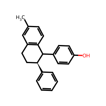 Cc1ccc2c(c1)CC[C@H](c1ccccc1)C2c1ccc(O)cc1